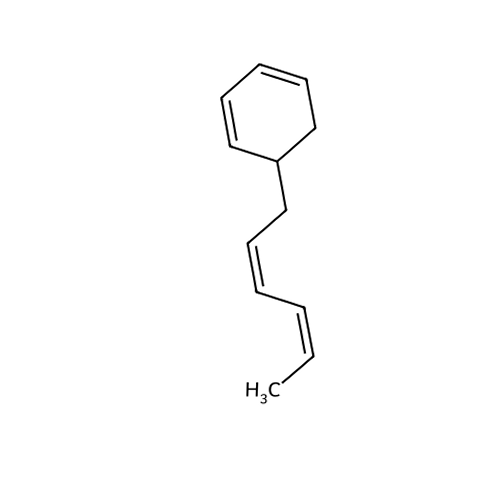 C/C=C\C=C/CC1C=CC=CC1